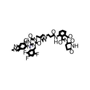 Cn1cc2cc(/N=c3\[nH]c(=O)n(Cc4cn(CCC(=O)Nc5cccc6c5C(=O)N(C5CCC(=O)NC5=O)C6=O)nn4)c(=O)n3Cc3cc(F)c(F)cc3F)c(Cl)cc2n1